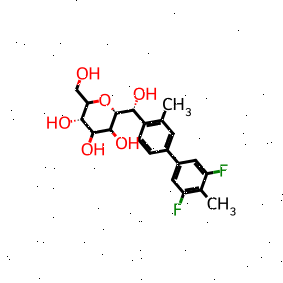 Cc1cc(-c2cc(F)c(C)c(F)c2)ccc1[C@@H](O)[C@H]1OC(CO)[C@@H](O)C(O)C1O